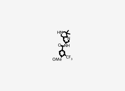 COc1ccc(C(=O)Nc2cnc3c(c2)CNCC3(C)C)cc1C(F)(F)F